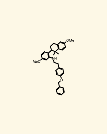 COc1ccc2c(c1)CCC(c1ccc(OC)cc1NCCc1ccc(OCc3ccccc3)cc1)C2(C)C